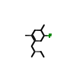 CCC(C)CC1=C(C)CC(C)C(F)C1